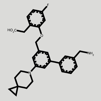 NCc1cccc(-c2cc(COc3cc(F)ccc3CC(=O)O)cc(N3CCC4(CC3)CC4)c2)c1